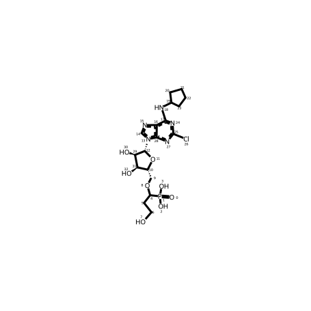 O=P(O)(O)C(CCO)OC[C@H]1O[C@@H](n2cnc3c(NC4CCCC4)nc(Cl)nc32)[C@H](O)[C@@H]1O